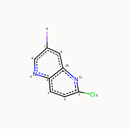 Clc1ccc2ncc(I)cc2n1